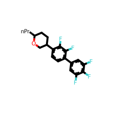 CCCC1CCC(c2ccc(-c3cc(F)c(F)c(F)c3)c(F)c2F)CO1